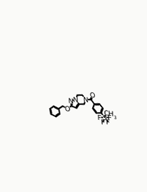 CS(F)(F)(F)(F)c1ccc(C(=O)N2CCn3nc(OCc4ccccc4)cc3C2)cc1